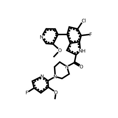 COc1cnccc1-c1cc(Cl)c(F)c2[nH]c(C(=O)N3CCN(c4ncc(F)cc4OC)CC3)cc12